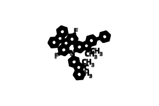 CC1(C)c2ccccc2-c2ccc(N(c3ccc4c(c3)C(C)(C)c3cc(-c5ccccc5)ccc3-4)c3cc(F)cc4c3-c3ccc(F)cc3C43c4ccccc4-c4ccccc43)cc21